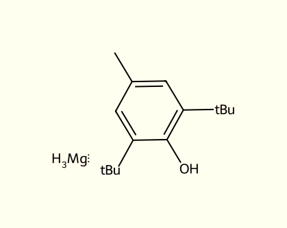 Cc1cc(C(C)(C)C)c(O)c(C(C)(C)C)c1.[MgH3]